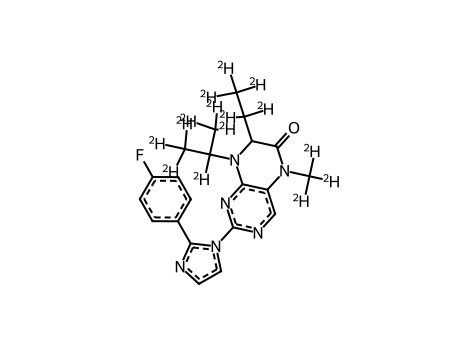 [2H]C([2H])([2H])N1C(=O)C(C([2H])([2H])C([2H])([2H])[2H])N(C([2H])(C([2H])([2H])[2H])C([2H])([2H])[2H])c2nc(-n3ccnc3-c3ccc(F)cc3)ncc21